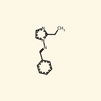 CCc1nccn1N=Cc1ccccc1